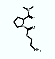 CN(C)C(=O)C1CCCN1C(=O)SCCN